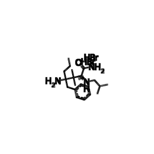 Br.Br.CCCC(N)(Cc1ccccc1)C(C)(C)[C@H](NCC(C)C)C(N)=O